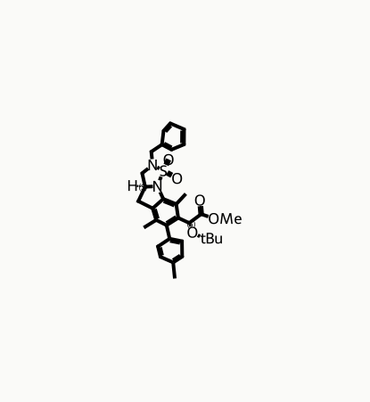 COC(=O)[C@@H](OC(C)(C)C)c1c(C)c2c(c(C)c1-c1ccc(C)cc1)C[C@H]1CN(Cc3ccccc3)S(=O)(=O)N21